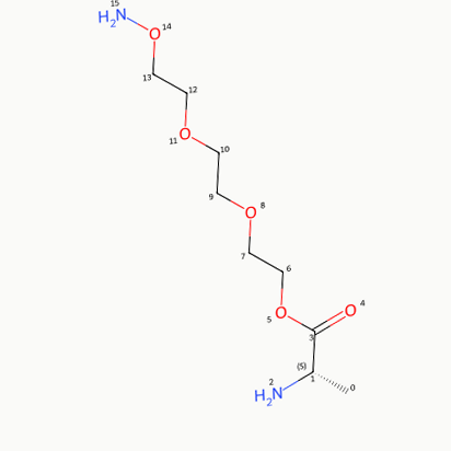 C[C@H](N)C(=O)OCCOCCOCCON